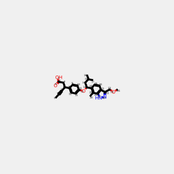 CC#CC(CC(=O)O)c1ccc(OC(CC(C)C)c2ccc3c(COC)n[nH]c3c2C)cc1